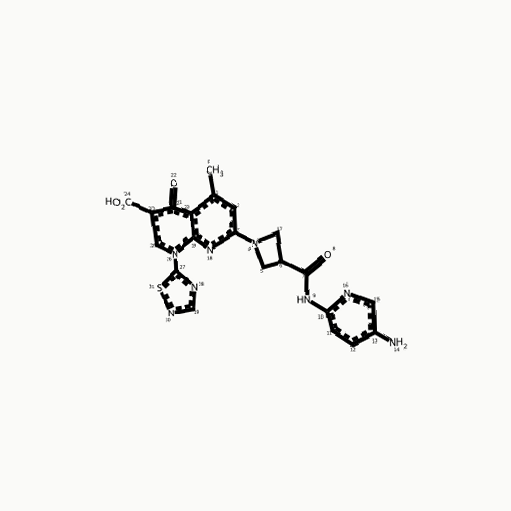 Cc1cc(N2CC(C(=O)Nc3ccc(N)cn3)C2)nc2c1c(=O)c(C(=O)O)cn2-c1ncns1